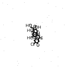 C[C@]12C=C(Cl)C(=O)C=C1[C@H](F)C[C@H]1[C@@H]3C[C@@H](O)[C@](O)(C(=O)CO)[C@@]3(C)C[C@H](O)[C@@]12F